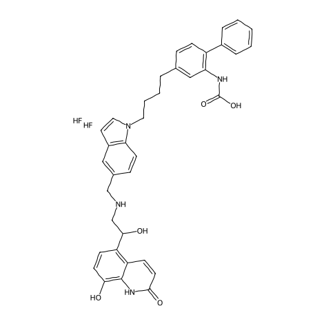 F.F.O=C(O)Nc1cc(CCCCn2ccc3cc(CNCC(O)c4ccc(O)c5[nH]c(=O)ccc45)ccc32)ccc1-c1ccccc1